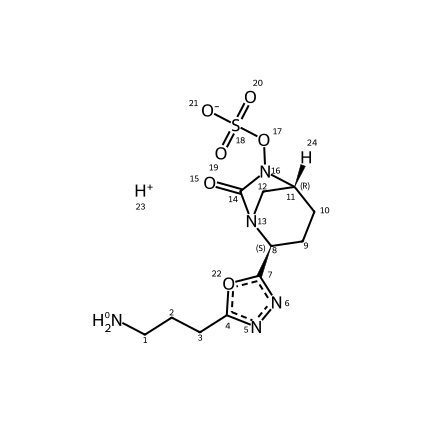 NCCCc1nnc([C@@H]2CC[C@@H]3CN2C(=O)N3OS(=O)(=O)[O-])o1.[H+]